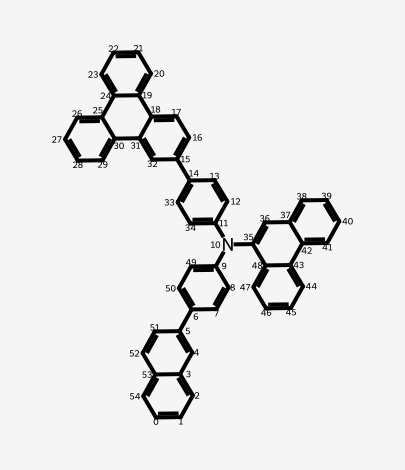 c1ccc2cc(-c3ccc(N(c4ccc(-c5ccc6c7ccccc7c7ccccc7c6c5)cc4)c4cc5ccccc5c5ccccc45)cc3)ccc2c1